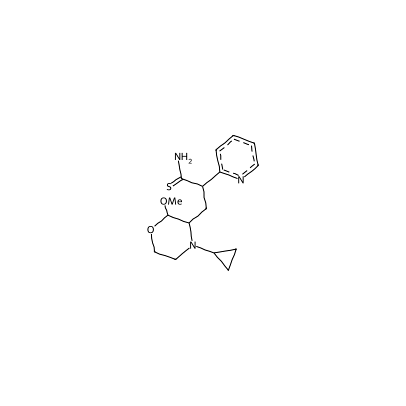 COC1OCCN(C2CC2)C1CC(C(N)=S)c1ccccn1